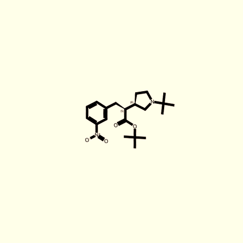 CC(C)(C)OC(=O)[C@@H](Cc1cccc([N+](=O)[O-])c1)[C@H]1CCN(C(C)(C)C)C1